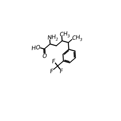 CC(CC(N)C(=O)O)C(C)c1cccc(C(F)(F)F)c1